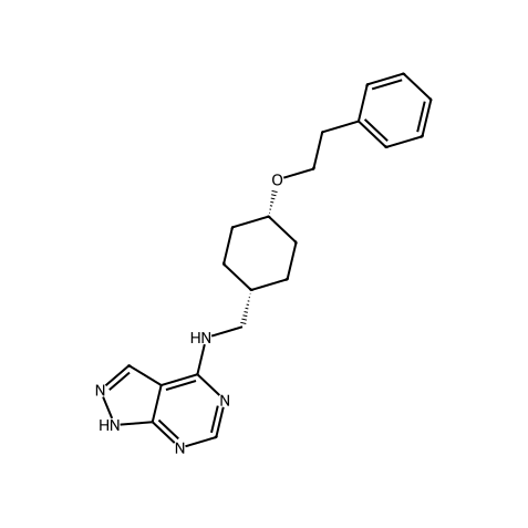 c1ccc(CCO[C@H]2CC[C@@H](CNc3ncnc4[nH]ncc34)CC2)cc1